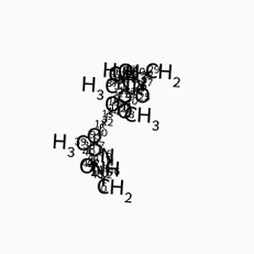 C=C1C[C@H]2C=Nc3cc(OCCCCCOc4cc5c(cc4OC)C(=O)N4CC(=C)C[C@H]4C(O)N5C(C)C)c(C)cc3C(=O)N2C1